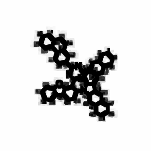 c1ccc2cc(-c3nc(-c4ccc5c(ccc6ccccc65)c4)nc(-c4c(-n5c6ccccc6c6cc7ccccc7cc65)ccc5c4oc4ccccc45)n3)ccc2c1